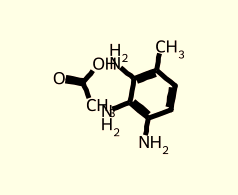 CC(=O)O.Cc1ccc(N)c(N)c1N